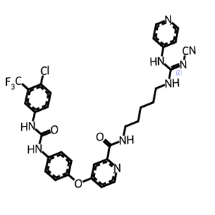 N#C/N=C(/NCCCCCNC(=O)c1cc(Oc2ccc(NC(=O)Nc3ccc(Cl)c(C(F)(F)F)c3)cc2)ccn1)Nc1ccncc1